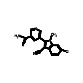 Cn1c(-c2cncc(C(N)=O)c2)c(C#N)c2ccc(Cl)cc21